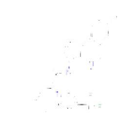 Cc1nc(C(F)(F)F)cn1C(CCO)C(=O)Nc1cnn(-c2ccc(F)cc2)c1N(C)C